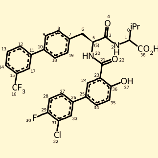 CC(C)C(NC(=O)[C@H](Cc1ccc(-c2cccc(C(F)(F)F)c2)cc1)NC(=O)c1cc(-c2ccc(F)c(Cl)c2)ccc1O)C(=O)O